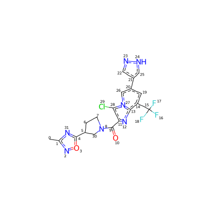 Cc1noc(C2CCN(C(=O)c3nc4c(C(F)(F)F)cc(-c5cn[nH]c5)cn4c3Cl)C2)n1